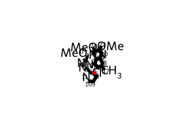 COCc1nnc(-c2ccccn2)n1-c1c(Cl)c(C)cc2nc(OC)c(OC)nc12